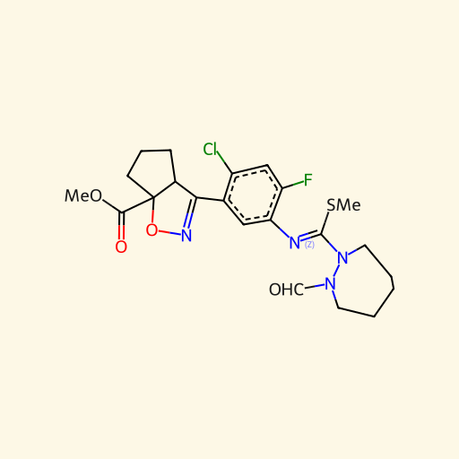 COC(=O)C12CCCC1C(c1cc(/N=C(\SC)N3CCCCCN3C=O)c(F)cc1Cl)=NO2